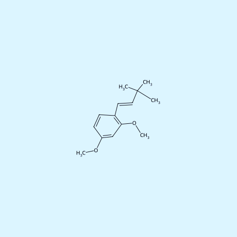 COc1ccc(/C=C/C(C)(C)C)c(OC)c1